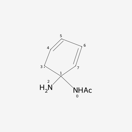 CC(=O)NC1(N)[CH]C=CC=C1